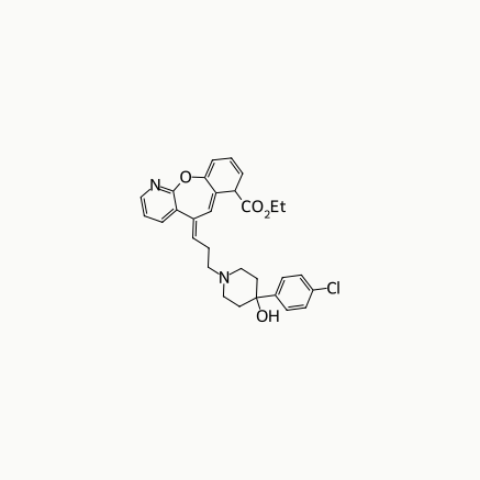 CCOC(=O)C1C=CC=C2Oc3ncccc3C(=CCCN3CCC(O)(c4ccc(Cl)cc4)CC3)C=C21